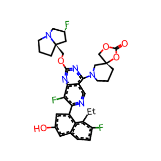 CCc1c(F)ccc2cc(O)cc(-c3ncc4c(N5CCC[C@]6(COC(=O)O6)C5)nc(OC[C@@]56CCCN5C[C@H](F)C6)nc4c3F)c12